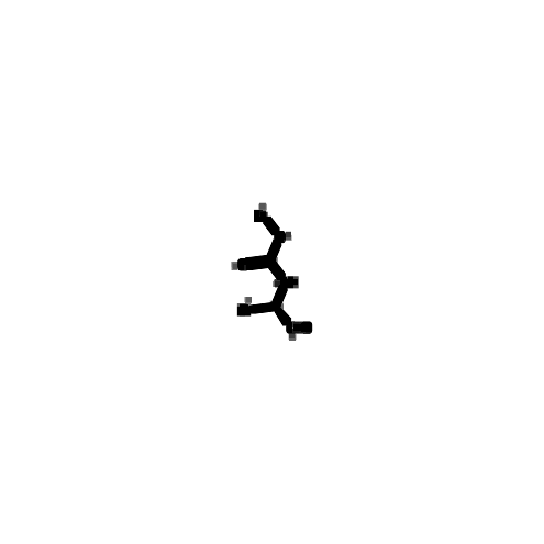 CCOC(=O)N[C@@H](C=O)C(C)C